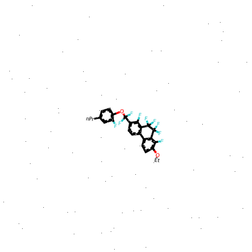 CCCc1ccc(OC(F)(F)c2ccc3c(c2F)C(F)(F)C(F)(F)c2c-3ccc(OCC)c2F)c(F)c1